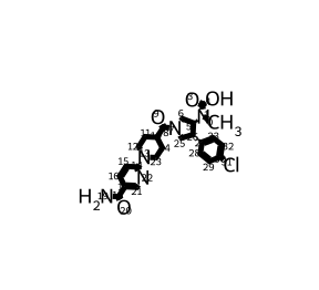 CN(C(=O)O)[C@@H]1CN(C(=O)C2CCN(c3ccc(C(N)=O)cn3)CC2)C[C@H]1c1ccc(Cl)cc1